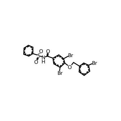 O=C(NS(=O)(=O)c1ccccc1)c1cc(Br)c(OCc2cccc(Br)c2)c(Br)c1